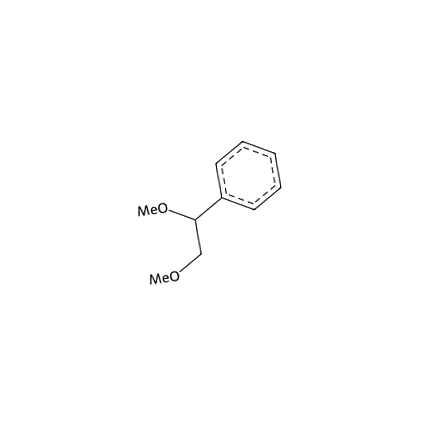 COCC(OC)c1ccccc1